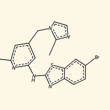 Cc1nccn1Cc1cc(Cl)nc(Nc2nc3ccc(Br)cc3s2)c1